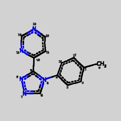 Cc1ccc(-n2cnnc2-c2ccncn2)cc1